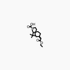 CCOC(=O)C=C1CCC2(CC1)CCN(C(=O)O)CC2C(C)(C)C